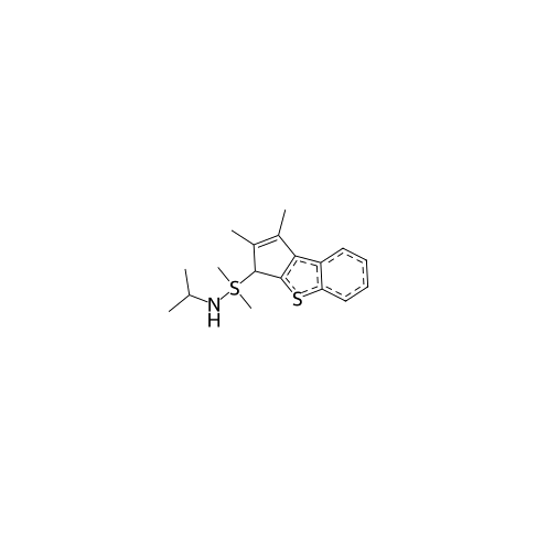 CC1=C(C)C(S(C)(C)NC(C)C)c2sc3ccccc3c21